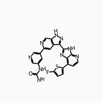 CCCC(=O)Nc1cncc(-c2cc3c(-c4nc5c(-c6ccc(F)s6)ccnc5[nH]4)n[nH]c3cn2)c1